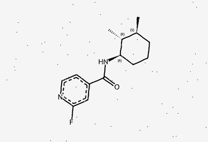 C[C@@H]1[C@@H](C)CCC[C@H]1NC(=O)c1ccnc(F)c1